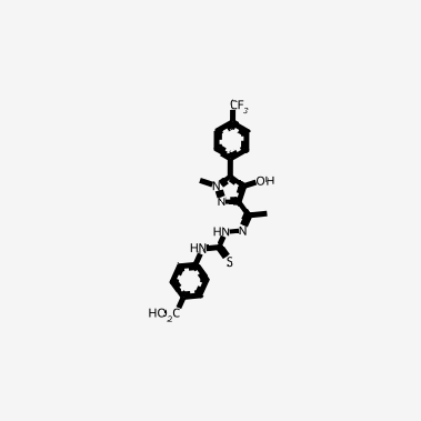 CC(=NNC(=S)Nc1ccc(C(=O)O)cc1)c1nn(C)c(-c2ccc(C(F)(F)F)cc2)c1O